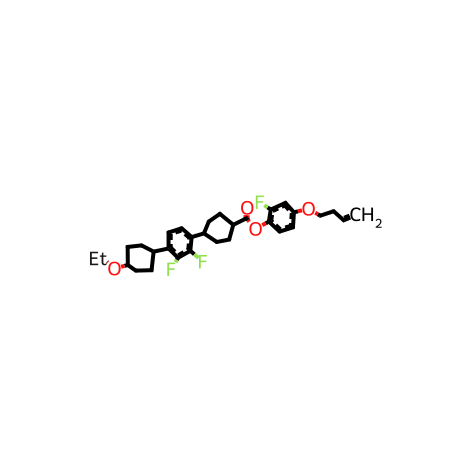 C=CCCOc1ccc(OC(=O)C2CCC(c3ccc(C4CCC(OCC)CC4)c(F)c3F)CC2)c(F)c1